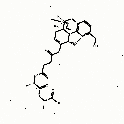 C[C@H](OC(=O)[C@H](C)OC(=O)CCC(=O)OC1=CC[C@@]2(O)[C@H]3Cc4ccc(CO)c5c4[C@@]2(CCN3C)[C@H]1O5)C(=O)O